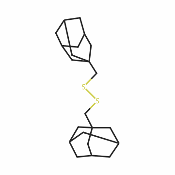 C1C2CC3CC1CC(CSSCC14CC5CC(CC(C5)C1)C4)(C2)C3